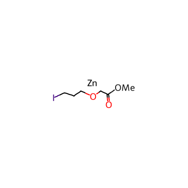 COC(=O)COCCCI.[Zn]